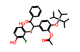 CC(=O)Oc1cc(C(Sc2c(O)ccc(O)c2F)C(=O)c2ccccc2)ccc1O[Si](C(C)C)(C(C)C)C(C)C